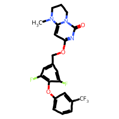 CN1CCCn2c1cc(OCc1cc(F)c(Oc3cccc(C(F)(F)F)c3)c(F)c1)nc2=O